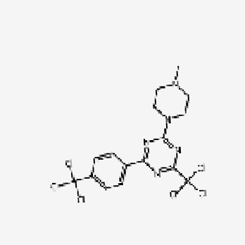 CN1CCN(c2nc(-c3ccc(C(Cl)(Cl)Cl)cc3)nc(C(Cl)(Cl)Cl)n2)CC1